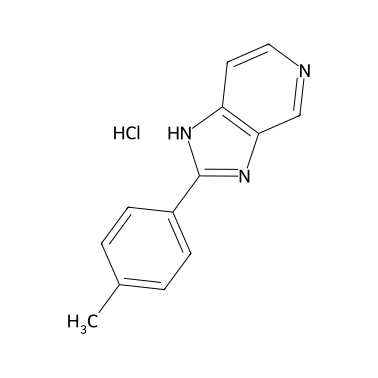 Cc1ccc(-c2nc3cnccc3[nH]2)cc1.Cl